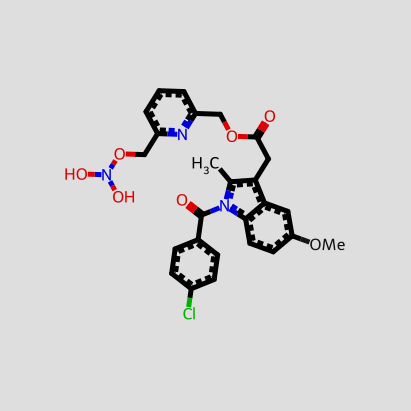 COc1ccc2c(c1)c(CC(=O)OCc1cccc(CON(O)O)n1)c(C)n2C(=O)c1ccc(Cl)cc1